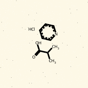 CC(C)C(=O)O.Cl.c1ccncc1